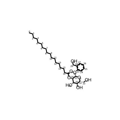 CCCCCCCCCCCCCCCCCC(=O)O[C@H]1[C@H](Oc2ccccc2CO)O[C@H](CO)[C@@H](O)[C@@H]1O